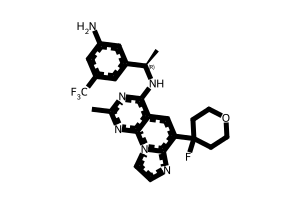 Cc1nc(N[C@H](C)c2cc(N)cc(C(F)(F)F)c2)c2cc(C3(F)CCOCC3)c3nccn3c2n1